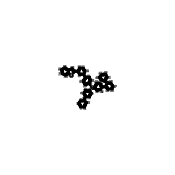 c1ccc(-c2ccc(N(c3ccc(-c4cccc(-c5cc6ccccc6o5)c4)cc3)c3ccc(-c4ccccc4-c4ccccc4)cc3)cc2)cc1